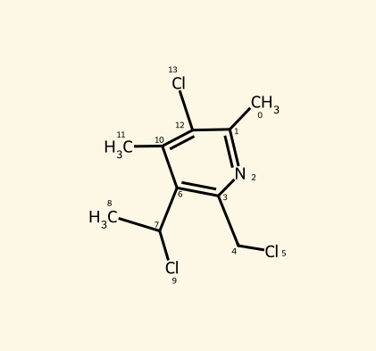 Cc1nc(CCl)c(C(C)Cl)c(C)c1Cl